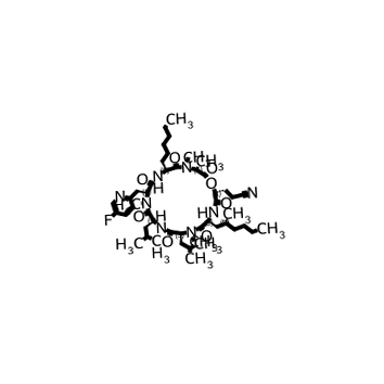 CCCCCC[C@@H]1NC(=O)[C@H](Cc2ccc(F)cn2)N(C)C(=O)[C@H](CC(C)C)NC(=O)[C@H](CC(C)C)N(C)C(=O)[C@H](C[C@H](C)CCCC)NC(=O)[C@@H](CCC#N)OC(=O)[C@H](C)N(C)C1=O